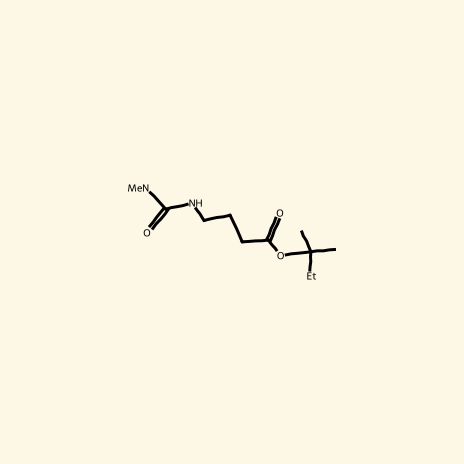 CCC(C)(C)OC(=O)CCCNC(=O)NC